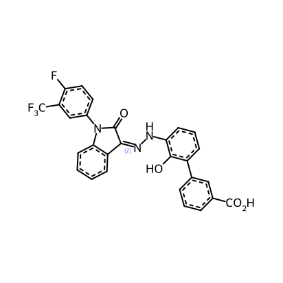 O=C(O)c1cccc(-c2cccc(N/N=C3\C(=O)N(c4ccc(F)c(C(F)(F)F)c4)c4ccccc43)c2O)c1